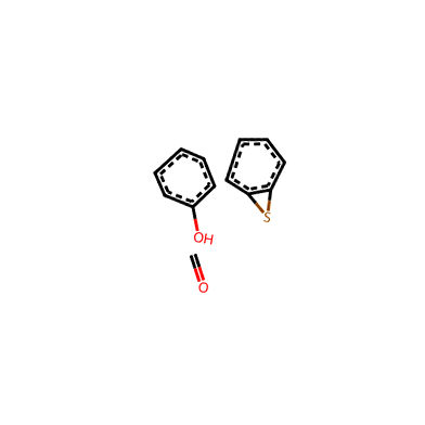 C=O.Oc1ccccc1.c1ccc2c(c1)S2